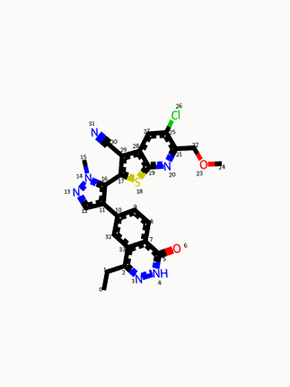 CCc1n[nH]c(=O)c2ccc(-c3cnn(C)c3-c3sc4nc(COC)c(Cl)cc4c3C#N)cc12